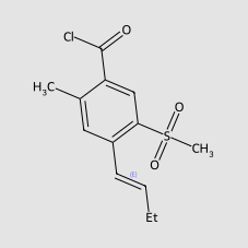 CC/C=C/c1cc(C)c(C(=O)Cl)cc1S(C)(=O)=O